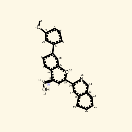 COc1cccc(-c2ccc3/c(=N/O)cc(-c4cc5ccccc5cn4)oc3c2)c1